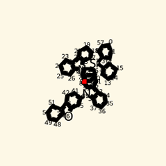 c1ccc([Si](c2ccccc2)(c2ccccc2)c2cccc3c4ccccc4n(-c4ccc5c6ccccc6n(-c6ccc7c(c6)oc6ccccc67)c5c4)c23)cc1